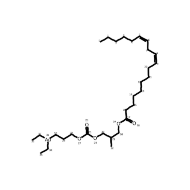 CCCCC/C=C\C/C=C\CCCCCCCC(=O)OCC(C)COC(=O)OCC[CH2][Au]([CH2]C)[CH2]C